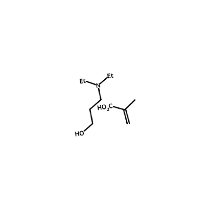 C=C(C)C(=O)O.CCN(CC)CCCO